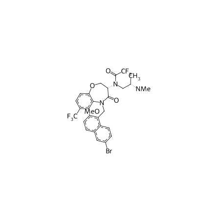 CN[C@@H](C)CN(C(=O)C(F)(F)F)[C@H]1COc2ccc(C(F)(F)F)cc2N(Cc2c(OC)ccc3cc(Br)ccc23)C1=O